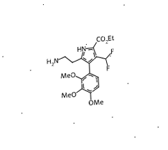 CCOC(=O)c1[nH]c(CCN)c(-c2ccc(OC)c(OC)c2OC)c1C(F)F